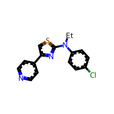 CCN(c1ccc(Cl)cc1)c1nc(-c2ccncc2)cs1